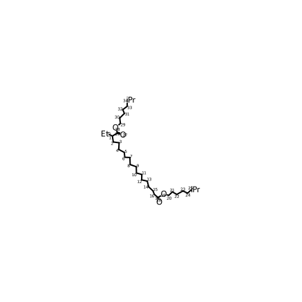 CCC(CCCCCCCCCCCCCCCC(=O)OCCCCCC(C)C)C(=O)OCCCCCC(C)C